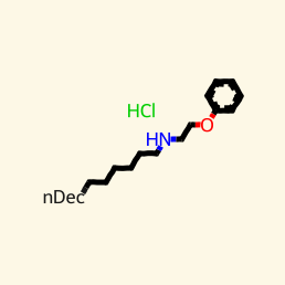 CCCCCCCCCCCCCCCCNCCOc1ccccc1.Cl